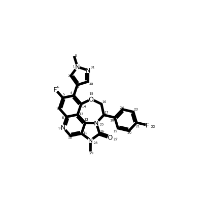 Cn1cc(-c2c(F)cc3ncc4c5c3c2OCC(c2ccc(F)cc2)n5c(=O)n4C)cn1